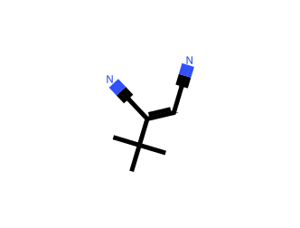 CC(C)(C)C(=[C]C#N)C#N